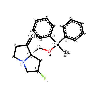 C=C1CCN2C[C@H](F)C[C@]12CO[Si](c1ccccc1)(c1ccccc1)C(C)(C)C